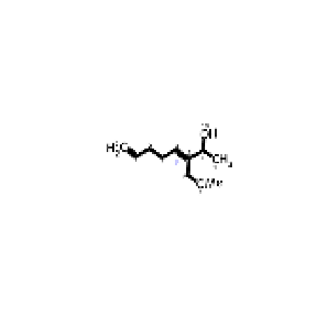 C=CCC/C=C(\COC)C(C)O